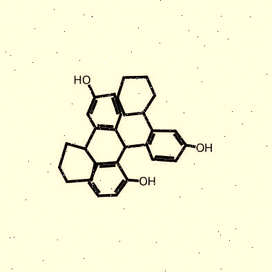 Oc1ccc(C(c2ccccc2O)c2ccc(O)cc2C2CCCCC2)c(C2CCCCC2)c1